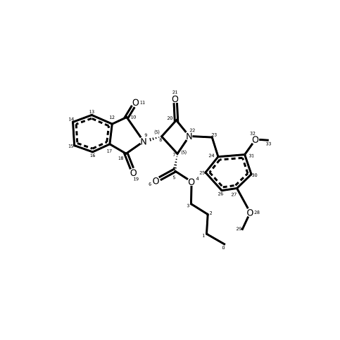 CCCCOC(=O)[C@@H]1[C@H](N2C(=O)c3ccccc3C2=O)C(=O)N1Cc1ccc(OC)cc1OC